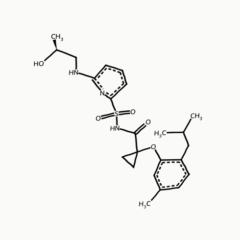 Cc1ccc(CC(C)C)c(OC2(C(=O)NS(=O)(=O)c3cccc(NC[C@H](C)O)n3)CC2)c1